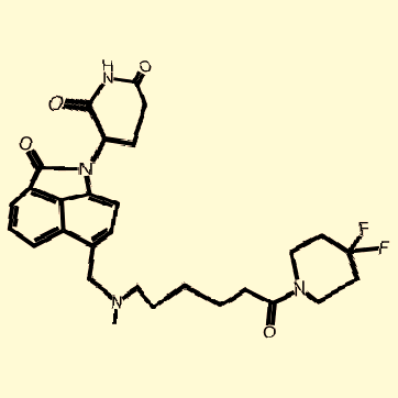 CN(CCCCCC(=O)N1CCC(F)(F)CC1)Cc1ccc2c3c(cccc13)C(=O)N2C1CCC(=O)NC1=O